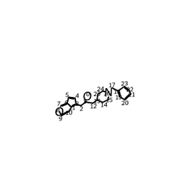 O=C(Cc1ccc2coccc1-2)CC1CCN(Cc2ccccc2)CC1